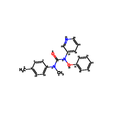 Cc1ccc(N(C)C(=O)N(Oc2ccccc2)c2cccnc2)cc1